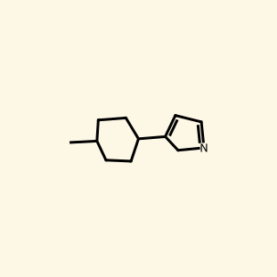 CC1CCC(C2=CC=NC2)CC1